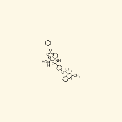 Cc1cc(C(C)Oc2ccc(C(=O)NC3(CC(=O)NO)CCCN(C(=O)OCc4ccccc4)C3)cc2)c2ccccc2n1